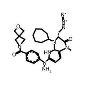 CN1C(=O)[C@@H](CN=[N+]=[N-])N(C2CCCCCC2)C2NC(N(N)c3ccc(C(=O)N4CC5(COC5)C4)cc3)=CC=C21